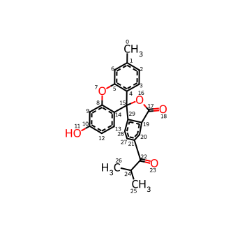 Cc1ccc2c(c1)Oc1cc(O)ccc1C21OC(=O)c2cc(C(=O)C(C)C)ccc21